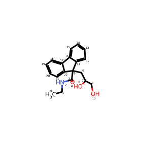 CCNC(=O)C1(CC(O)CO)c2ccccc2-c2ccccc21